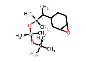 CC(C1CCC2OC2C1)[Si](C)(C)O[Si](C)(C)O[Si](C)(C)C